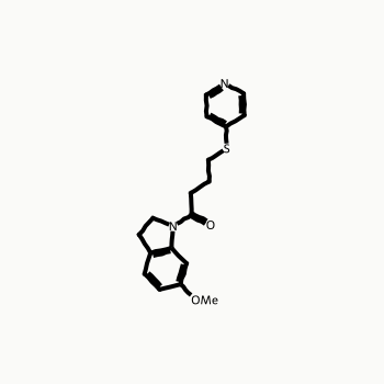 COc1ccc2c(c1)N(C(=O)CCCSc1ccncc1)CC2